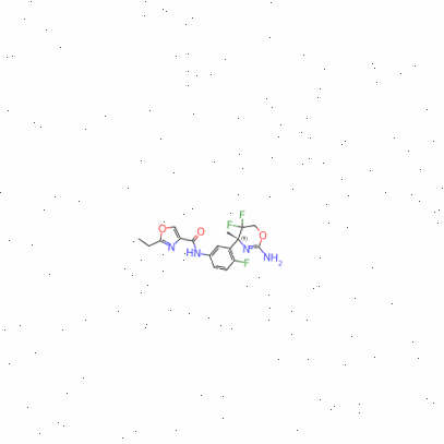 CCc1nc(C(=O)Nc2ccc(F)c([C@@]3(C)N=C(N)OCC3(F)F)c2)co1